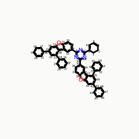 C1=CCCC(c2nc(-c3ccc4oc5cc(-c6ccccc6)cc(-c6ccccc6)c5c4c3)nc(-c3ccc4oc5cc(-c6ccccc6)cc(-c6ccccc6)c5c4c3)n2)=C1